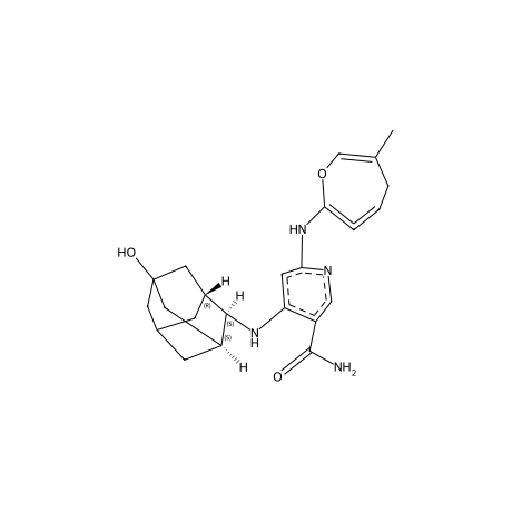 CC1=COC(Nc2cc(N[C@@H]3[C@@H]4CC5C[C@H]3CC(O)(C5)C4)c(C(N)=O)cn2)=C=CC1